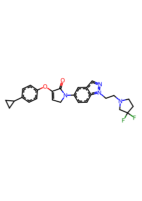 O=C1C(Oc2ccc(C3CC3)cc2)=CCN1c1ccc2c(cnn2CCN2CCC(F)(F)C2)c1